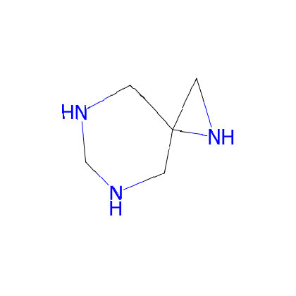 C1NCC2(CN1)CN2